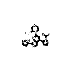 CC1COCCN1c1cc(-c2ccnn2C(F)F)c2cnc(-c3ccn[nH]3)n2n1